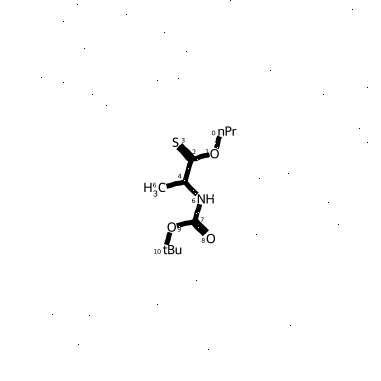 CCCOC(=S)C(C)NC(=O)OC(C)(C)C